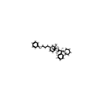 C[C@@](C(=O)O[C@H]1C[N+]2(CCCOc3ccccc3)CCC1CC2)(c1ccccc1)N1CCCCC1